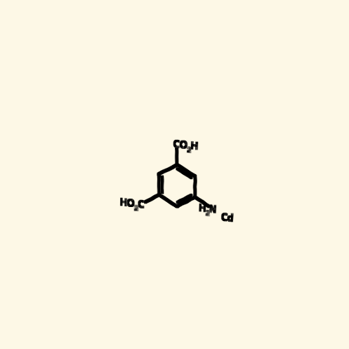 Nc1cc(C(=O)O)cc(C(=O)O)c1.[Cd]